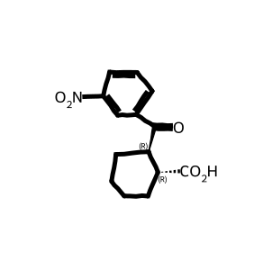 O=C(O)[C@@H]1CCCC[C@H]1C(=O)c1cccc([N+](=O)[O-])c1